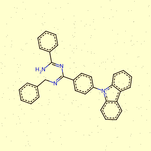 N/C(=N\C(=N/Cc1ccccc1)c1ccc(-n2c3ccccc3c3ccccc32)cc1)c1ccccc1